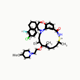 CCC1CCN2CC3(CCCc4c3ccc(Cl)c4F)COc3ccc(cc32)C(=O)NSC(C)CC/C=C(\C)C1OCCN1CCC(OC)CC1